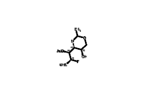 CC(=O)O[C@@H]([C@@H]1OC(C)OC[C@H]1O)[C@@H](F)C=O